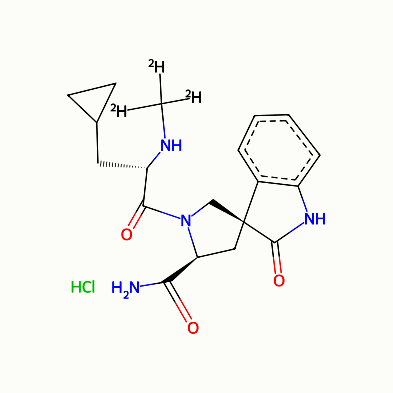 Cl.[2H]C([2H])([2H])N[C@@H](CC1CC1)C(=O)N1C[C@]2(C[C@H]1C(N)=O)C(=O)Nc1ccccc12